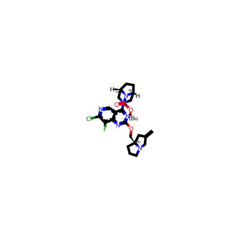 C=C1CN2CCC[C@]2(COc2nc(N3C[C@H]4CC[C@@H](C3)N4C(=O)OC(C)(C)C)c3cnc(Cl)c(F)c3n2)C1